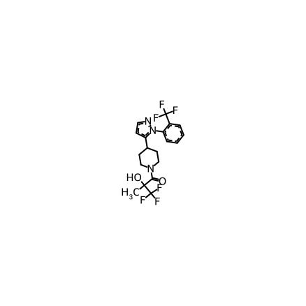 CC(O)(C(=O)N1CCC(c2ccnn2-c2ccccc2C(F)(F)F)CC1)C(F)(F)F